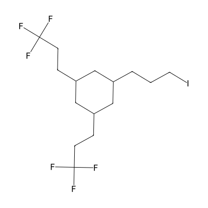 FC(F)(F)CCC1CC(CCCI)CC(CCC(F)(F)F)C1